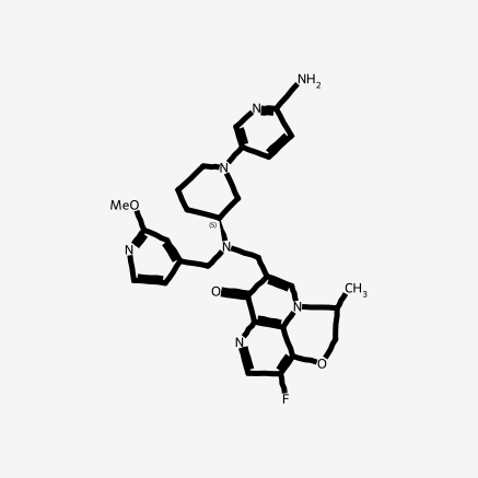 COc1cc(CN(Cc2cn3c4c(c(F)cnc4c2=O)OCC3C)[C@H]2CCCN(c3ccc(N)nc3)C2)ccn1